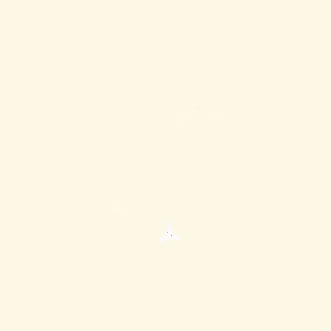 CCC(=O)OCCc1ccc2c(c1)c(=O)ccn2CC